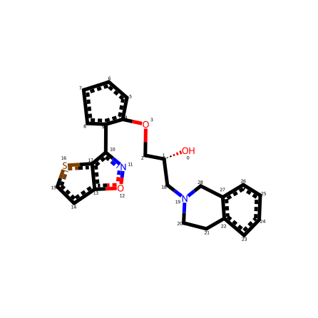 O[C@@H](COc1ccccc1-c1noc2ccsc12)CN1CCc2ccccc2C1